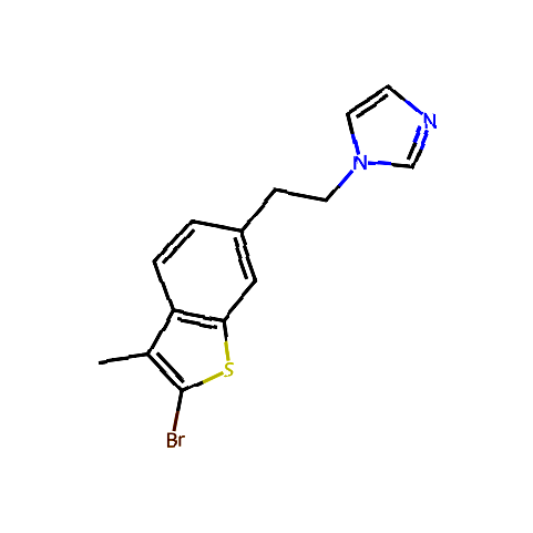 Cc1c(Br)sc2cc(CCn3ccnc3)ccc12